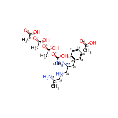 CC(=O)O.CC(=O)O.CC(=O)O.CC(=O)O.CC(=O)O.CC(N)CNCC(N)Cc1ccccc1